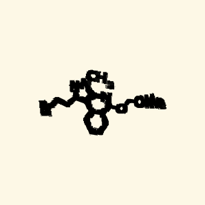 COCOc1nc2c(c(CCBr)nn2C)c2ccccc12